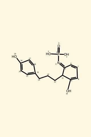 O=P(O)(O)N=C1C=CC=C(O)C1CCCc1ccc(O)cc1